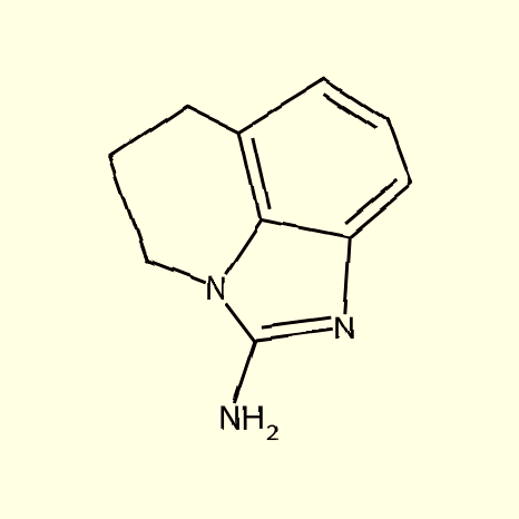 Nc1nc2cccc3c2n1CCC3